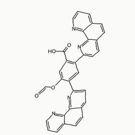 O=COc1cc(C(=O)O)c(-c2ccc3ccc4cccnc4c3n2)cc1-c1ccc2ccc3cccnc3c2n1